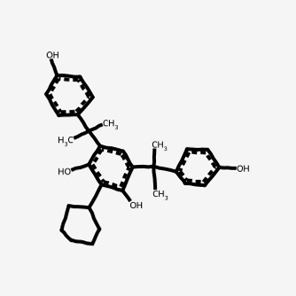 CC(C)(c1ccc(O)cc1)c1cc(C(C)(C)c2ccc(O)cc2)c(O)c(C2CCCCC2)c1O